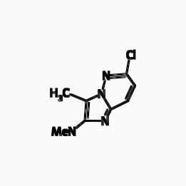 CNc1nc2ccc(Cl)nn2c1C